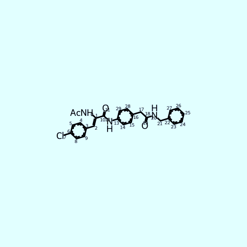 CC(=O)N/C(=C\c1ccc(Cl)cc1)C(=O)Nc1ccc(CC(=O)NCc2ccccc2)cc1